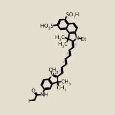 CCN1/C(=C/C=C/C=C/C=C/C2=[N+](C)c3ccc(NC(=O)CI)cc3C2(C)C)C(C)(C)c2c1ccc1c(S(=O)(=O)O)cc(S(=O)(=O)O)cc21